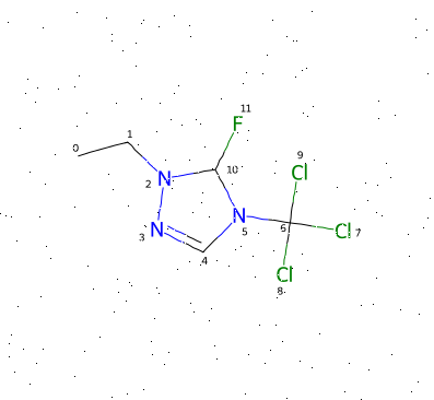 CCN1N=CN(C(Cl)(Cl)Cl)C1F